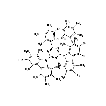 Bc1c(B)c(B)c(Sc2c(B)c(B)c(B)c(-c3nc(-n4c5c(B)c(B)c(B)c(B)c5c5c(B)c(B)c(B)c(B)c54)nc(-n4c5c(B)c(B)c(B)c(B)c5c5c(B)c(B)c(B)c(B)c54)n3)c2B)c(B)c1B